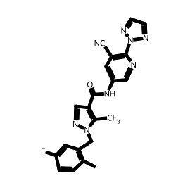 Cc1ccc(F)cc1Cn1ncc(C(=O)Nc2cnc(-n3nccn3)c(C#N)c2)c1C(F)(F)F